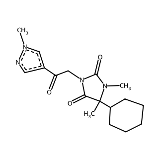 CN1C(=O)N(CC(=O)c2cnn(C)c2)C(=O)C1(C)C1CCCCC1